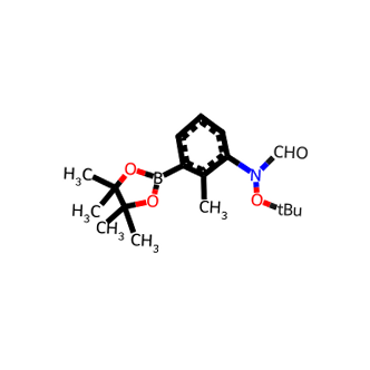 Cc1c(B2OC(C)(C)C(C)(C)O2)cccc1N(C=O)OC(C)(C)C